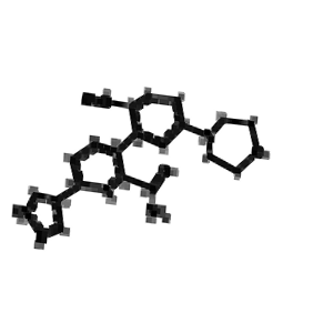 COc1ccc(N2CCOCC2)cc1-c1ccc(-c2cn[nH]c2)nc1C(N)=O